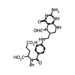 CC(C)N(C(=O)c1ccc(NCC2CNc3[nH]c(N)nc(=O)c3N2C=O)cc1)C(CCC(=O)O)C(=O)O